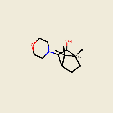 CC1(C)C2CC[C@@]1(C)C(O)C2N1CCOCC1